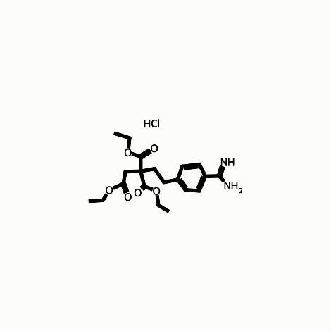 CCOC(=O)CC(CCc1ccc(C(=N)N)cc1)(C(=O)OCC)C(=O)OCC.Cl